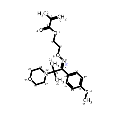 C=C(C)C(=O)OCCO/N=C(/c1ccc(SC)cc1)C(C)(C)N1CCOCC1